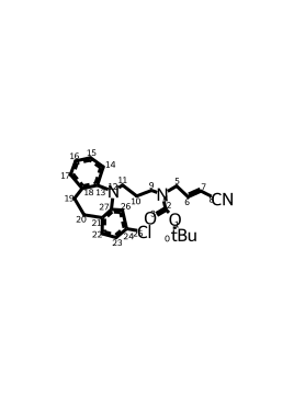 CC(C)(C)OC(=O)N(C/C=C/C#N)CCCN1c2ccccc2CCc2ccc(Cl)cc21